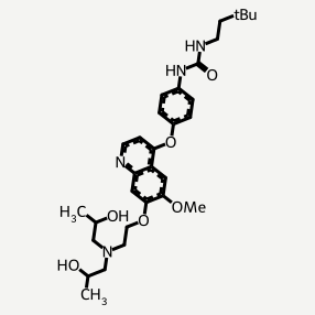 COc1cc2c(Oc3ccc(NC(=O)NCCC(C)(C)C)cc3)ccnc2cc1OCCN(CC(C)O)CC(C)O